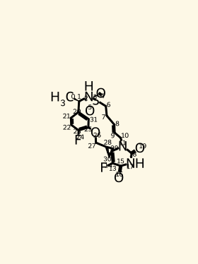 C[C@@H](NS(=O)(=O)CC/C=C/Cn1cc(F)c(=O)[nH]c1=O)c1ccc(F)c(OCC2CC2)c1